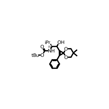 CC(C)[C@H](NC(=O)OC(C)(C)C)C(O)C1=C(c2ccccc2)C12OCC(C)(C)CO2